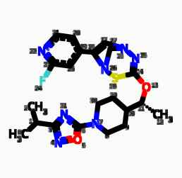 CC(C)c1noc(N2CCC([C@@H](C)OC3=NN4C=C(c5ccnc(F)c5)N(C4)S3)CC2)n1